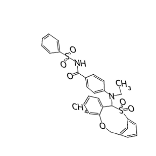 C.CCN(c1ccc(C(=O)NS(=O)(=O)c2ccccc2)cc1)C1c2ccccc2OCc2cccc(c2)S1(=O)=O